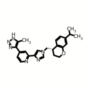 Cc1[nH]nnc1-c1ccnc(-c2cn(C[C@H]3CCOc4cc(C(C)C)ccc43)cn2)c1